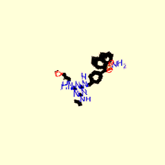 COCCCNc1nc(NCC2CCC(CC3(S(N)(=O)=O)CC=Cc4ccccc43)CC2)nc(NC(C)C)n1